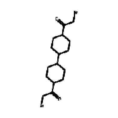 O=C(CBr)C1CCC(C2CCC(C(=O)CBr)CC2)CC1